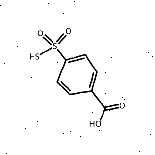 O=C(O)c1ccc(S(=O)(=O)S)cc1